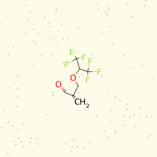 C=C(C=O)COC(C(F)(F)F)C(F)(F)F